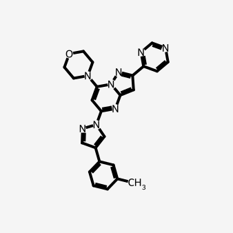 Cc1cccc(-c2cnn(-c3cc(N4CCOCC4)n4nc(-c5ccncn5)cc4n3)c2)c1